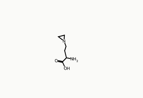 NC(CCN1CC1)C(=O)O